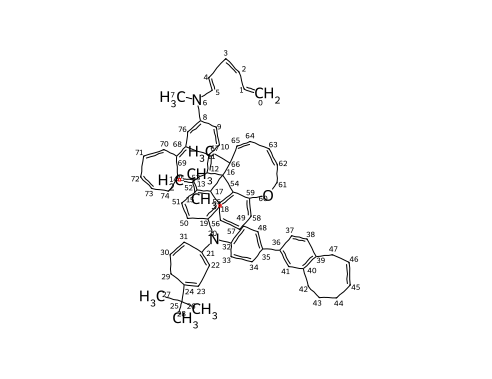 C=C/C=C\C=C\N(C)c1ccc(=C(/C(=C)C)C2(c3cc(N(C4=CC=C(C(C)(C)C)CC=C4)c4ccc(-c5ccc6c(c5)CCC/C=C\C6)cc4)ccc3C)c3ccccc3OC/C=C\C=C/C2C)/c(=C2/C=CC=CCC2)c1